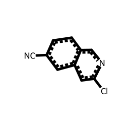 N#Cc1ccc2cnc(Cl)cc2c1